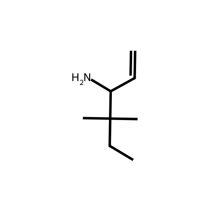 C=CC(N)C(C)(C)CC